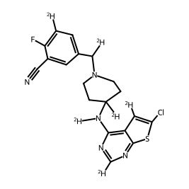 [2H]c1nc(N([2H])C2([2H])CCN(C([2H])c3cc([2H])c(F)c(C#N)c3)CC2)c2c([2H])c(Cl)sc2n1